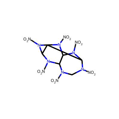 O=[N+]([O-])N1CN([N+](=O)[O-])C2N([N+](=O)[O-])C3C1N([N+](=O)[O-])C1N([N+](=O)[O-])C21N3[N+](=O)[O-]